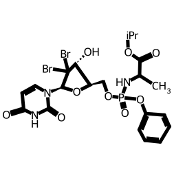 CC(C)OC(=O)C(C)NP(=O)(OC[C@H]1O[C@@H](n2ccc(=O)[nH]c2=O)C(Br)(Br)[C@@H]1O)Oc1ccccc1